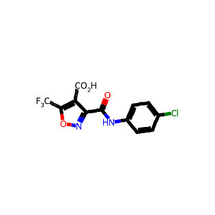 O=C(Nc1ccc(Cl)cc1)c1noc(C(F)(F)F)c1C(=O)O